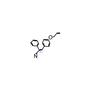 C=CCOc1ccc(/C=C(/C#N)c2ccccc2)cc1